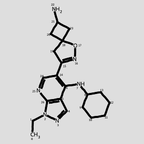 CCn1ncc2c(NC3CCCCC3)c(C3=NOC4(C3)CC(N)C4)cnc21